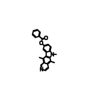 Cc1c2cnccc2c(C)c2c1c1cc(OC(=O)c3ccccc3)ccc1n2C